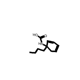 CCCCC1(NC(=O)O)C=CC=CC1